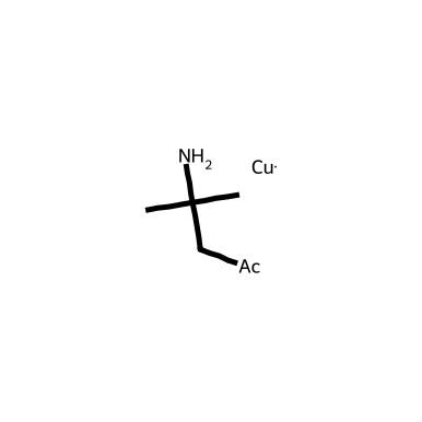 CC(=O)CC(C)(C)N.[Cu]